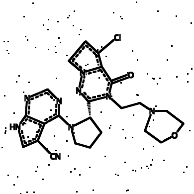 N#Cc1c[nH]c2ncnc(N3CCC[C@H]3c3nn4ccc(Cl)c4c(=O)n3CCN3CCOCC3)c12